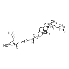 CCOCC1C[C@@H](O)CN1C(=O)CCCSSCCNC(=O)O[C@H]1CC[C@@]2(C)C(=CCC3C2CC[C@@]2(C)C3CC[C@@H]2[C@H](C)CCCC(C)C)C1